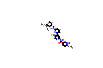 C[C@@H]1CC[C@@H](C(=O)Nc2cc(-c3cccc(NC[C@@H]4CCOC(C)(C)C4)n3)c(Cl)cn2)CN1